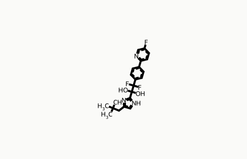 CC(C)(C)Cc1c[nH]c(C(O)(O)C(F)(F)c2ccc(-c3ccc(F)cn3)cc2)n1